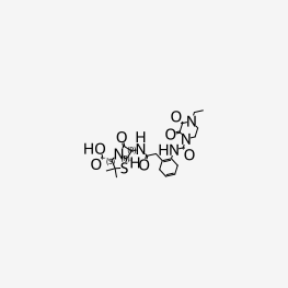 CCN1CCN(C(=O)NC2=C(CC(=O)N[C@@H]3C(=O)N4[C@@H]3SC(C)(C)[C@@H]4C(=O)O)CC=CC2)C(=O)C1=O